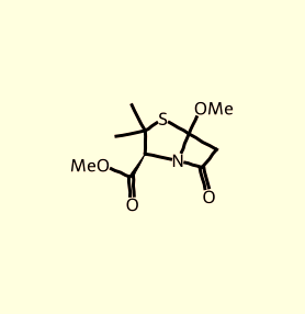 COC(=O)[C@@H]1N2C(=O)CC2(OC)SC1(C)C